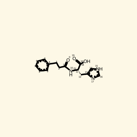 O=C(CCc1ccccc1)N[C@@H](Cc1c[nH]cn1)C(=O)O